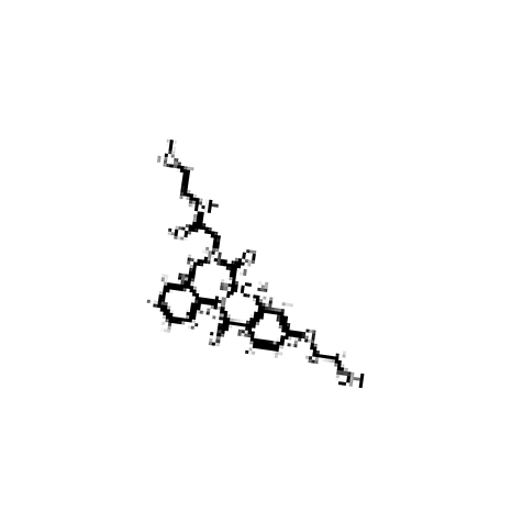 COCCNC(=O)CN1Cc2ccccc2N(C(=O)c2ccc(OCCO)cc2Cl)CC1=O